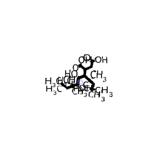 CC(C)(C)CC(C)(C)/C(O)=C(\O)C(C(CC(=O)O)C(=O)O)C(C)(C)CC(C)(C)C